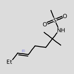 CC/C=C/CCC(C)(C)NS(C)(=O)=O